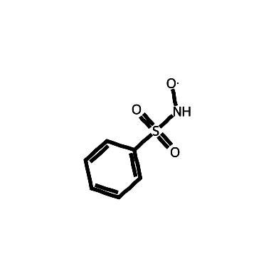 [O]NS(=O)(=O)c1ccccc1